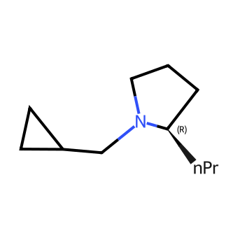 CCC[C@@H]1CCCN1CC1CC1